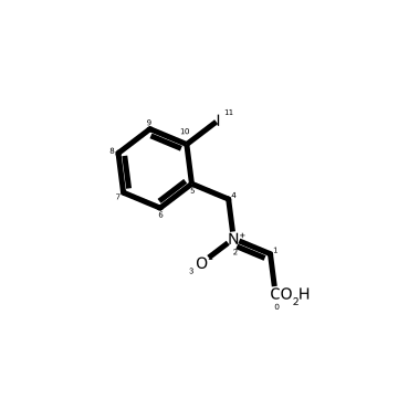 O=C(O)/C=[N+](\[O-])Cc1ccccc1I